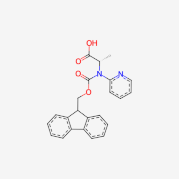 C[C@@H](C(=O)O)N(C(=O)OCC1c2ccccc2-c2ccccc21)c1ccccn1